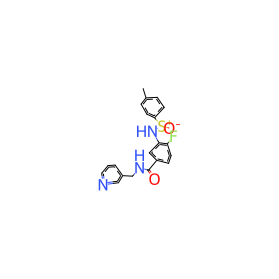 Cc1ccc([S+]([O-])Nc2cc(C(=O)NCc3cccnc3)ccc2F)cc1